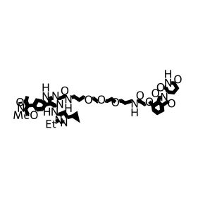 CCn1nc(C2CC2)cc1Nc1nc(C(=O)NCCCOCCOCCOCCCNC(=O)COc2cccc3c2C(=O)N(C2CCC(=O)NC2=O)C3=O)nc2[nH]c3cc(-c4c(C)noc4C)c(OC)cc3c12